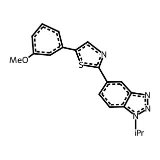 COc1cccc(-c2cnc(-c3ccc4c(c3)nnn4C(C)C)s2)c1